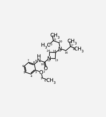 CCOc1ccccc1NC(=O)N1CC(N(CC(C)C)CC(C)C)C1